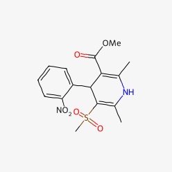 COC(=O)C1=C(C)NC(C)=C(S(C)(=O)=O)C1c1ccccc1[N+](=O)[O-]